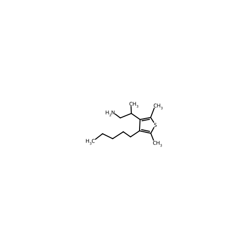 CCCCCc1c(C)sc(C)c1C(C)CN